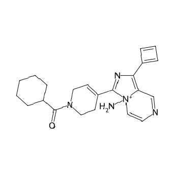 N[N+]12C=CN=CC1=C(C1=CC=C1)N=C2C1=CCN(C(=O)C2CCCCC2)CC1